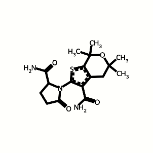 CC1(C)Cc2c(sc(N3C(=O)CCC3C(N)=O)c2C(N)=O)C(C)(C)O1